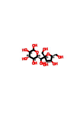 OC[C@H]1O[C@@](CO)(C(O)[C@H]2OC(O)[C@H](O)[C@@H](O)[C@@H]2O)[C@@H](O)[C@@H]1O